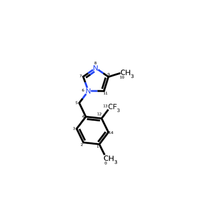 Cc1ccc(Cn2cnc(C)c2)c(C(F)(F)F)c1